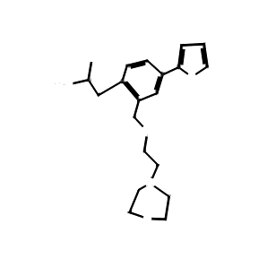 [CH2]C(Cc1ccc(-c2cccs2)cc1COCCN1CCCCC1)SC